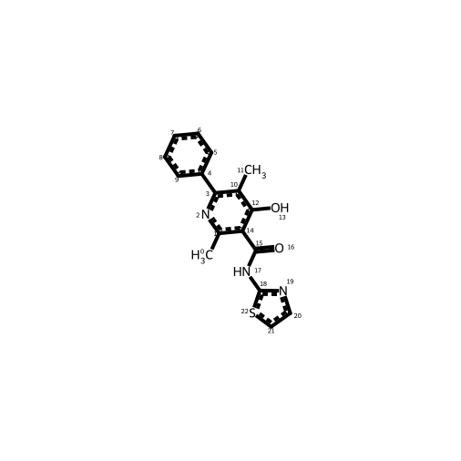 Cc1nc(-c2ccccc2)c(C)c(O)c1C(=O)Nc1nccs1